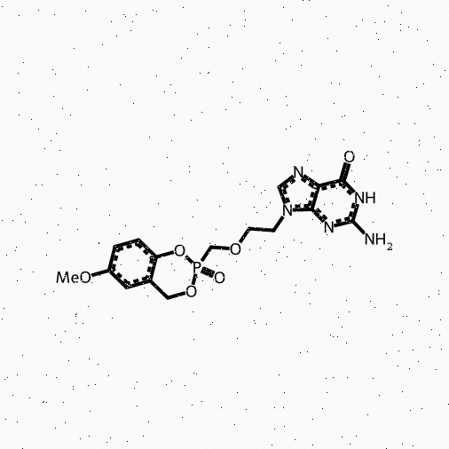 COc1ccc2c(c1)COP(=O)(COCCn1cnc3c(=O)[nH]c(N)nc31)O2